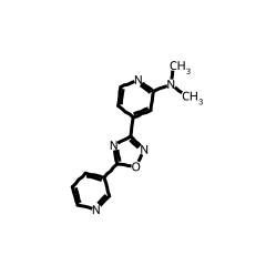 CN(C)c1cc(-c2noc(-c3cccnc3)n2)ccn1